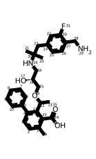 Cc1ccc(-c2ccccc2)c(C(C)OC[C@H](O)CNC(C)(C)Cc2ccc(CN)c(F)c2)c1C(=O)O